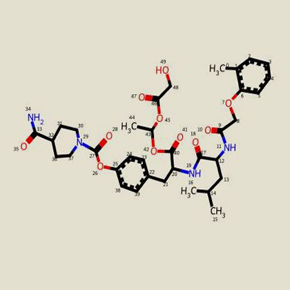 Cc1ccccc1OCC(=O)NC(CC(C)C)C(=O)NC(Cc1ccc(OC(=O)N2CCC(C(N)=O)CC2)cc1)C(=O)OC(C)OC(=O)CO